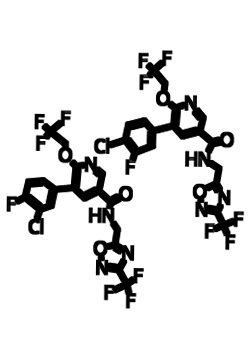 O=C(NCc1nc(C(F)(F)F)no1)c1cnc(OCC(F)(F)F)c(-c2ccc(Cl)c(F)c2)c1.O=C(NCc1nc(C(F)(F)F)no1)c1cnc(OCC(F)(F)F)c(-c2ccc(F)c(Cl)c2)c1